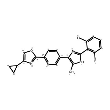 Nc1[nH]c(-c2c(F)cccc2Cl)nc1-c1ccc(-c2nc(C3CC3)no2)nc1